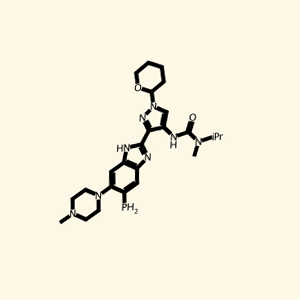 CC(C)N(C)C(=O)Nc1cn(C2CCCCO2)nc1-c1nc2cc(P)c(N3CCN(C)CC3)cc2[nH]1